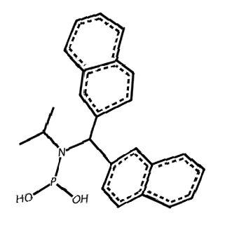 CC(C)N(C(c1ccc2ccccc2c1)c1ccc2ccccc2c1)P(O)O